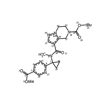 COC(=O)c1cnc(C2(N(C)C(=O)c3cnn4c3CN(C(=O)OC(C)(C)C)CC4)CC2)nc1